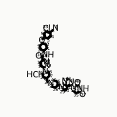 Cl.N#Cc1ccc(O[C@H]2CC[C@H](NC(=O)c3ccc(N4CCC(CN5CCC(n6ccc7c(N8CCC(=O)NC8=O)ncnc76)CC5)CC4)nn3)CC2)cc1Cl